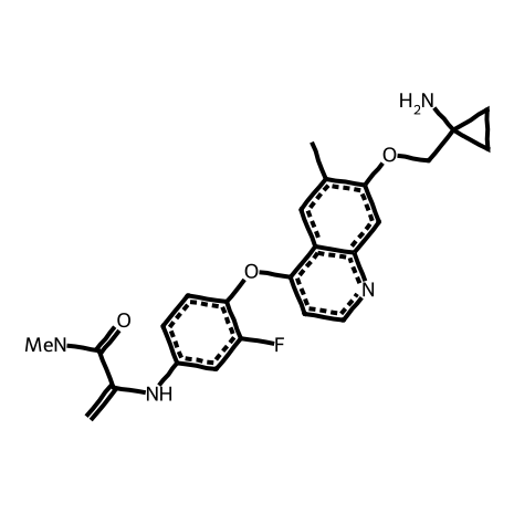 C=C(Nc1ccc(Oc2ccnc3cc(OCC4(N)CC4)c(C)cc23)c(F)c1)C(=O)NC